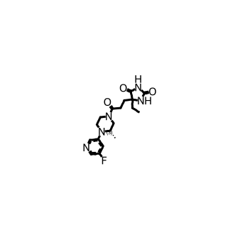 CCC1(CCC(=O)N2CCN(c3cncc(F)c3)[C@@H](C)C2)NC(=O)NC1=O